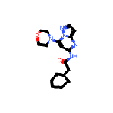 O=C(CC1CCCCC1)Nc1cc(N2CCOCC2)n2nccc2n1